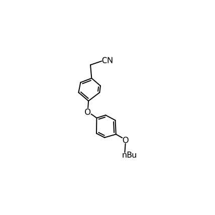 CCCCOc1ccc(Oc2ccc(CC#N)cc2)cc1